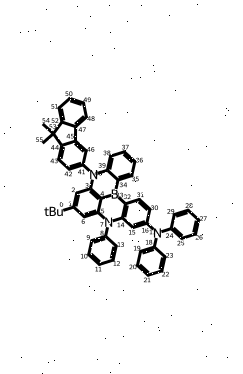 CC(C)(C)c1cc2c3c(c1)N(c1ccccc1)c1cc(N(c4ccccc4)c4ccccc4)ccc1B3c1ccccc1N2c1ccc2c(c1)-c1ccccc1C2(C)C